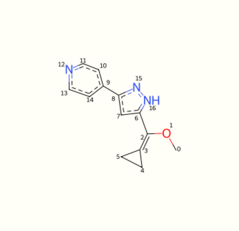 COC(=C1CC1)c1cc(-c2ccncc2)n[nH]1